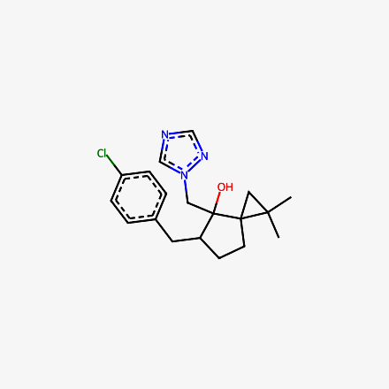 CC1(C)CC12CCC(Cc1ccc(Cl)cc1)C2(O)Cn1cncn1